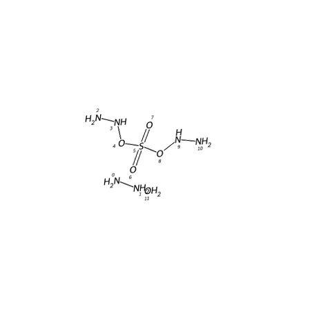 NN.NNOS(=O)(=O)ONN.O